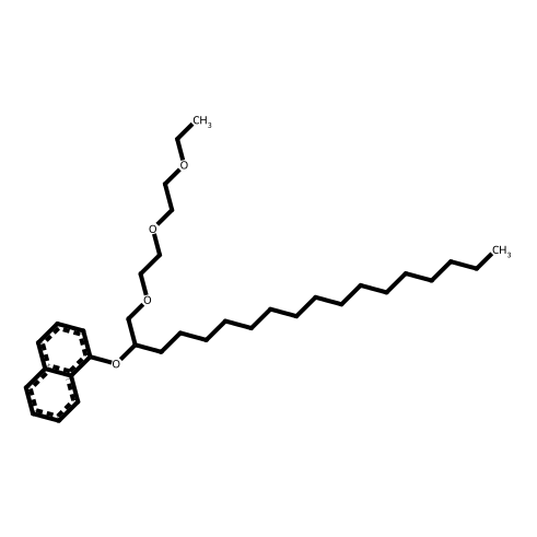 CCCCCCCCCCCCCCCCC(COCCOCCOCC)Oc1cccc2ccccc12